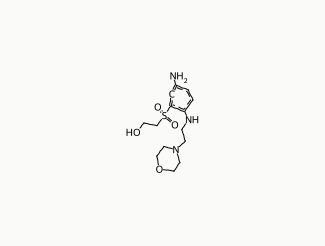 Nc1ccc(NCCN2CCOCC2)c(S(=O)(=O)CCO)c1